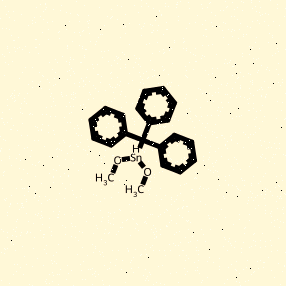 C[O][SnH]([O]C)[C](c1ccccc1)(c1ccccc1)c1ccccc1